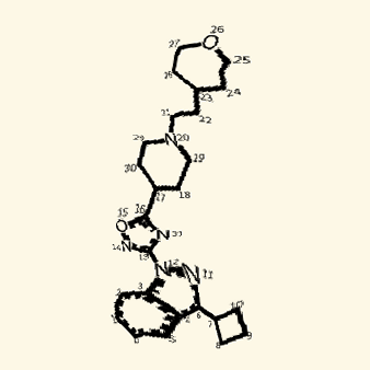 c1ccc2c(c1)c(C1CCC1)nn2-c1noc(C2CCN(CCC3CCOCC3)CC2)n1